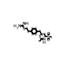 CC(=N)S[C@H](CCS(C)(=O)=O)Cc1ccc(CCSC(=N)N)cc1